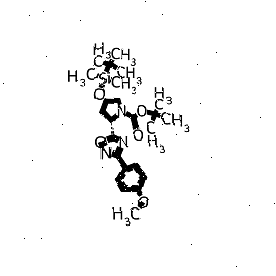 COc1ccc(-c2noc([C@@H]3C[C@@H](O[Si](C)(C)C(C)(C)C)CN3C(=O)OC(C)(C)C)n2)cc1